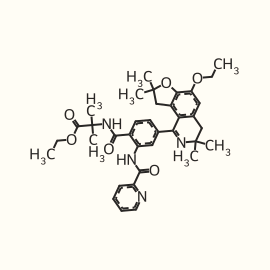 CCOC(=O)C(C)(C)NC(=O)c1ccc(C2=NC(C)(C)Cc3cc(OCC)c4c(c32)CC(C)(C)O4)cc1NC(=O)c1ccccn1